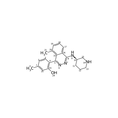 Cc1ccc(-c2nnc(N[C@@H]3CCCNC3)c3cccc(C)c23)c(O)c1